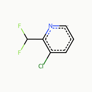 FC(F)c1n[c]ccc1Cl